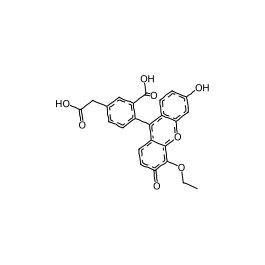 CCOc1c2oc3cc(O)ccc3c(-c3ccc(CC(=O)O)cc3C(=O)O)c-2ccc1=O